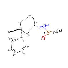 CC(C)(C)[S+]([O-])N[C@H]1CC[C@@](C)(c2ccccc2)C1